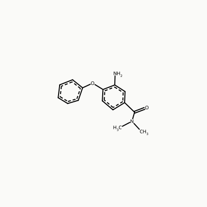 CN(C)C(=O)c1ccc(Oc2ccccc2)c(N)c1